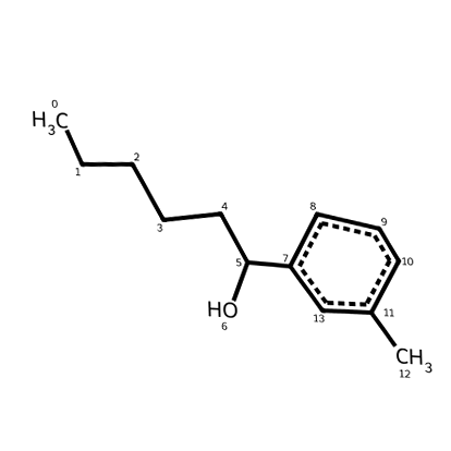 CCCCCC(O)c1cccc(C)c1